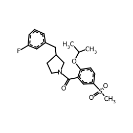 CC(C)Oc1ccc(S(C)(=O)=O)cc1C(=O)N1CCC(Cc2cccc(F)c2)C1